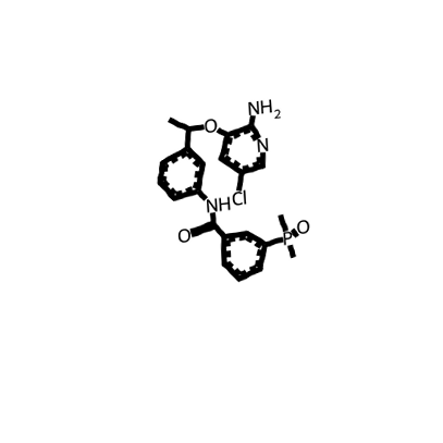 CC(Oc1cc(Cl)cnc1N)c1cccc(NC(=O)c2cccc(P(C)(C)=O)c2)c1